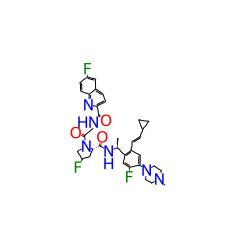 C[C@H](NC(=O)[C@@H]1C[C@@H](F)CN1C(=O)CNC(=O)c1ccc2cc(F)ccc2n1)c1cc(F)c(N2CCN(C)CC2)cc1/C=C/C1CC1